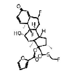 C[C@H]1C[C@H]2[C@@H]3C[C@H](F)C4=CC(=O)C=C[C@]4(C)[C@@]3(F)[C@@H](O)C[C@]2(C)[C@@]1(OC(=O)c1ccco1)C(=O)SCF